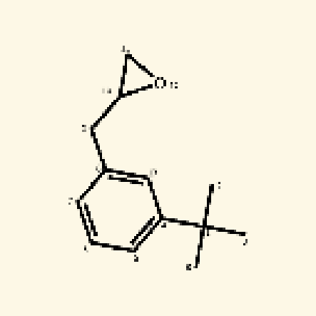 CC(C)(C)c1cc[c]c(CC2CO2)c1